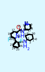 C[C@@H]1C[C@@H](N)C[C@H](c2ccncc2NC(=O)c2ccc(F)c(-c3ccccc3F)n2)C1